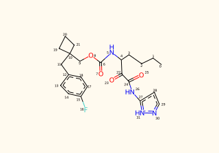 CCCCC(NC(=O)OCC1(Cc2ccc(F)cc2)CCC1)C(=O)C(=O)Nc1ccn[nH]1